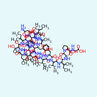 CC[C@H](C)[C@H](NC(=O)[C@H](CC(N)=O)NC(=O)[C@@H](N)[C@@H](C)O)C(=O)N[C@@H](C)C(=O)N[C@@H](CCC(=O)O)C(=O)N[C@H](C(=O)N[C@@H](CO)C(=O)N[C@@H](CC(C)C)C(=O)N[C@H](C(=O)N[C@H](C(=O)N[C@@H](CC(=O)O)C(=O)NCC(=O)N[C@H](C(=O)N[C@H](C(=O)N[C@@H](Cc1ccccc1)C(=O)N[C@H](C(=O)N[C@H](C(=O)N[C@@H](CC(=O)O)C(=O)N1CCC[C@H]1C(=O)NCC(=O)O)[C@@H](C)CC)C(C)C)C(C)C)C(C)C)[C@@H](C)CC)[C@@H](C)O)[C@@H](C)O